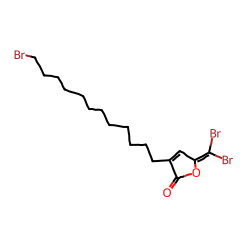 O=C1OC(=C(Br)Br)C=C1CCCCCCCCCCCCBr